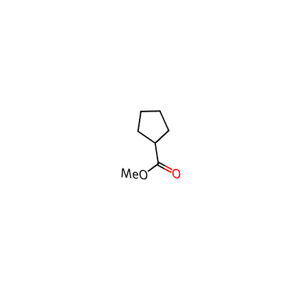 COC(=O)C1CCCC1